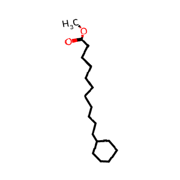 COC(=O)CCCCCCCCCCC1CCCCC1